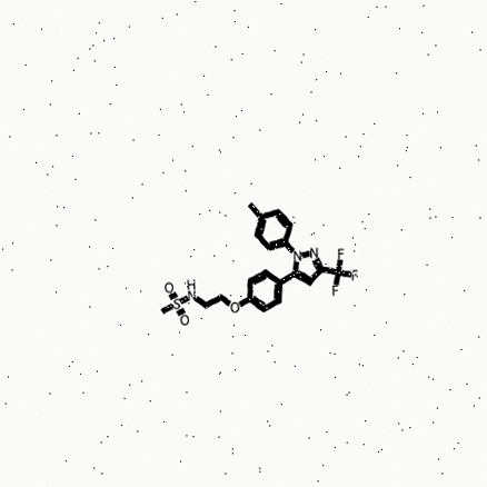 Cc1ccc(-n2nc(C(F)(F)F)cc2-c2ccc(OCCNS(C)(=O)=O)cc2)cc1